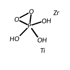 OP1(O)(O)OO1.[Ti].[Zr]